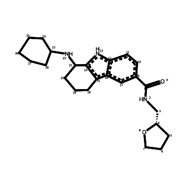 O=C(NC[C@@H]1CCCO1)c1ccc2[nH]c3c(c2c1)CCCC3NC1CCCCC1